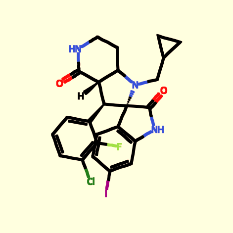 O=C1NCCC2[C@@H]1[C@H](c1cccc(Cl)c1F)[C@]1(C(=O)Nc3cc(I)ccc31)N2CC1CC1